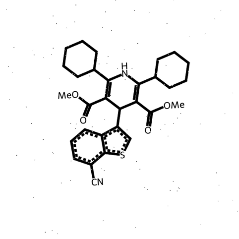 COC(=O)C1=C(C2CCCCC2)NC(C2CCCCC2)=C(C(=O)OC)C1c1csc2c(C#N)cccc12